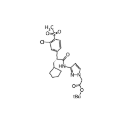 CC(C)(C)OC(=O)Cn1ccc(NC(=O)[C@H](CC2CCCC2)c2ccc(S(C)(=O)=O)c(Cl)c2)n1